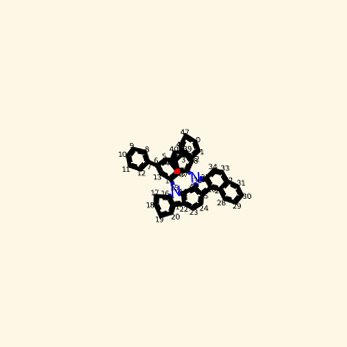 c1ccc(-c2cc(-c3ccccc3)cc(-n3c4ccccc4c4ccc5c6c7ccccc7ccc6n(-c6ccccc6)c5c43)c2)cc1